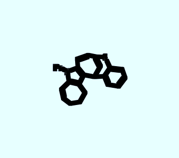 CC(C)n1c2c(c3c1C=CC1=CC3c3ccccc3S1)CCCC=C2